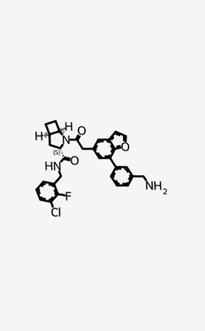 NCc1cccc(-c2cc(CC(=O)N3[C@@H]4CC[C@@H]4C[C@H]3C(=O)NCc3cccc(Cl)c3F)cc3ccoc23)c1